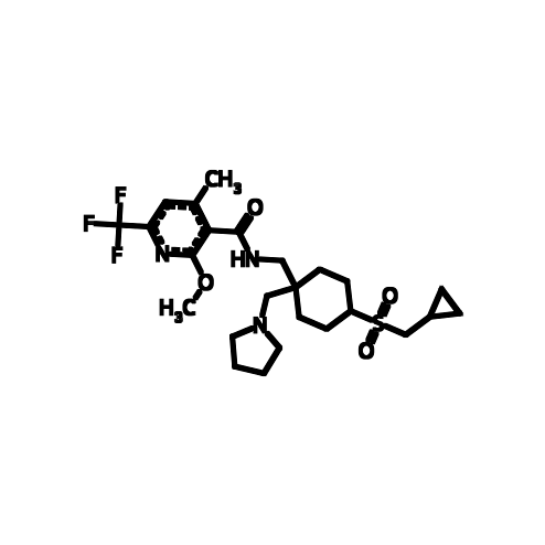 COc1nc(C(F)(F)F)cc(C)c1C(=O)NCC1(CN2CCCC2)CCC(S(=O)(=O)CC2CC2)CC1